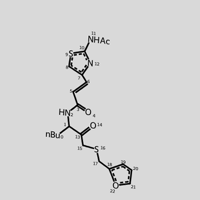 CCCCC(NC(=O)C=Cc1csc(NC(C)=O)n1)C(=O)CSCc1ccco1